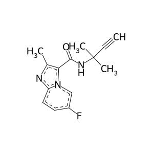 C#CC(C)(C)NC(=O)c1c(C)nc2ccc(F)cn12